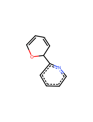 [C]1=CC(c2ccccn2)OC=C1